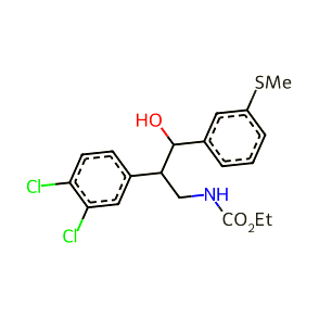 CCOC(=O)NCC(c1ccc(Cl)c(Cl)c1)C(O)c1cccc(SC)c1